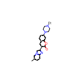 CCN1CCN(c2ccc3cc(-c4cn5cc(C)ccc5n4)c(=O)oc3c2)CC1